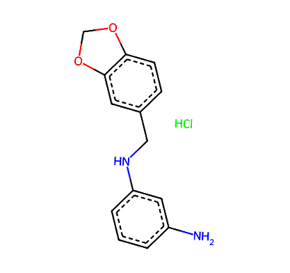 Cl.Nc1cccc(NCc2ccc3c(c2)OCO3)c1